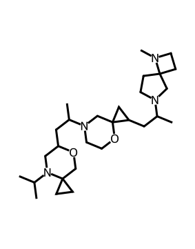 CC(CC1CN(C(C)C)C2(CC2)CO1)N1CCOC2(CC2CC(C)N2CCC3(CCN3C)C2)C1